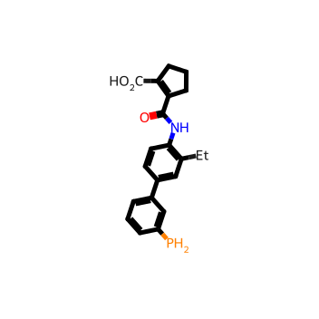 CCc1cc(-c2cccc(P)c2)ccc1NC(=O)C1=C(C(=O)O)CCC1